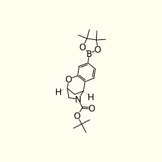 CC(C)(C)OC(=O)N1C[C@@H]2C[C@H]1c1ccc(B3OC(C)(C)C(C)(C)O3)cc1O2